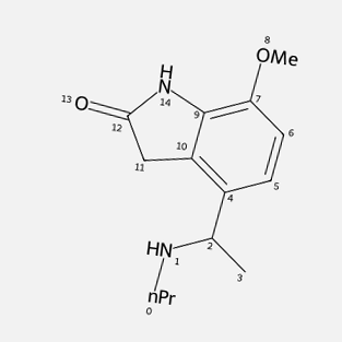 CCCNC(C)c1ccc(OC)c2c1CC(=O)N2